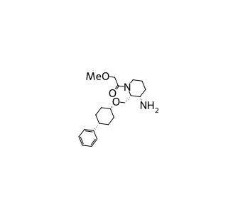 COCC(=O)N1CCC[C@H](N)[C@@H]1CO[C@H]1CC[C@@H](c2ccccc2)CC1